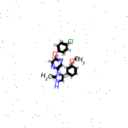 C=C1NC[C@H](c2cccc(OC)c2)N1c1cnc(Oc2ccc(Cl)cc2)cn1